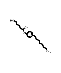 CCCCCCCCc1ccc(OC(O)CCCCO)cc1